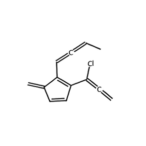 C=C=C(Cl)C1=C(C=C=CC)C(=C)C=C1